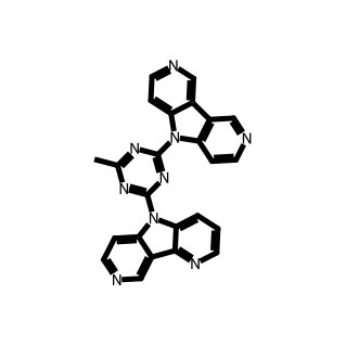 Cc1nc(-n2c3ccncc3c3cnccc32)nc(-n2c3ccncc3c3ncccc32)n1